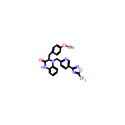 CC(C)(C)Oc1ccc(CC2C(=O)Nc3ccccc3N2Cc2ccc(-c3noc(C(F)(F)F)n3)cn2)cc1